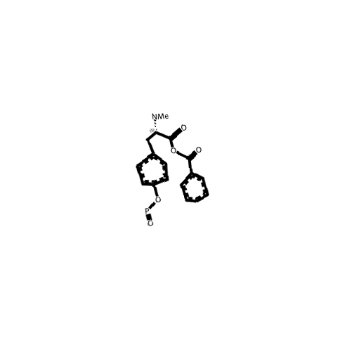 CN[C@@H](Cc1ccc(OP=O)cc1)C(=O)OC(=O)c1ccccc1